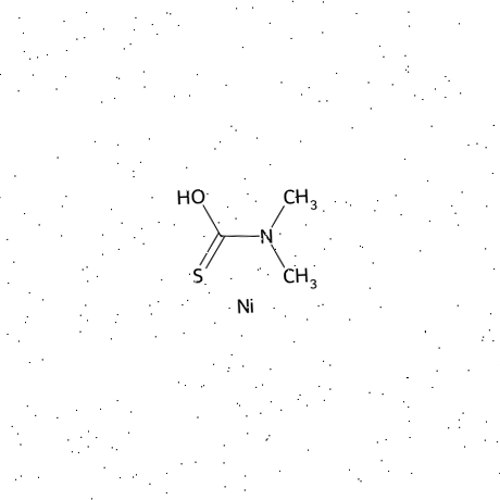 CN(C)C(O)=S.[Ni]